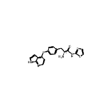 N[C@@H](Cc1ccc(Oc2ccnc3[nH]ccc23)cc1)C(=O)Nc1nccs1